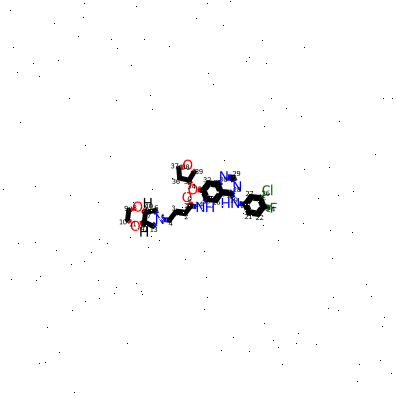 O=C(C=CCN1C[C@@H]2OCCO[C@@H]2C1)Nc1cc2c(Nc3ccc(F)c(Cl)c3)ncnc2cc1OC1CCOC1